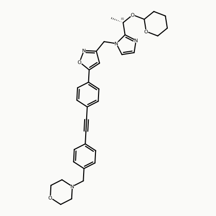 C[C@H](OC1CCCCO1)c1nccn1Cc1cc(-c2ccc(C#Cc3ccc(CN4CCOCC4)cc3)cc2)on1